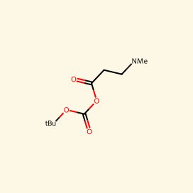 CNCCC(=O)OC(=O)OC(C)(C)C